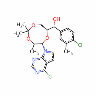 Cc1cc([C@@H](O)[C@@H]2COC(C)(C)OC(C)[C@H](n3ccc4c(Cl)ncnc43)O2)ccc1Cl